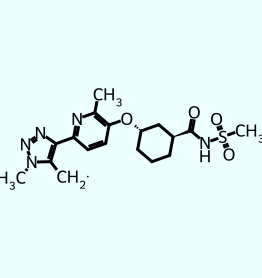 [CH2]c1c(-c2ccc(O[C@H]3CCC[C@H](C(=O)NS(C)(=O)=O)C3)c(C)n2)nnn1C